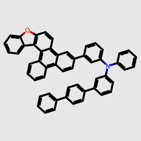 c1ccc(-c2ccc(-c3cccc(N(c4ccccc4)c4cccc(-c5ccc6c7ccccc7c7c(ccc8oc9ccccc9c87)c6c5)c4)c3)cc2)cc1